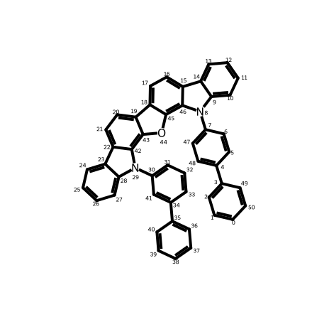 c1ccc(-c2ccc(-n3c4ccccc4c4ccc5c6ccc7c8ccccc8n(-c8cccc(-c9ccccc9)c8)c7c6oc5c43)cc2)cc1